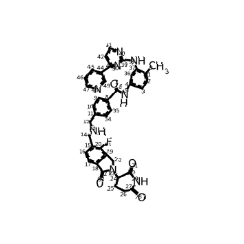 Cc1ccc(NC(=O)c2ccc(CNCc3ccc4c(c3F)CN(C3CCC(=O)NC3=O)C4=O)cc2)cc1Nc1nccc(-c2cccnc2)n1